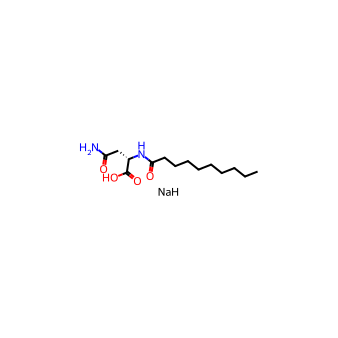 CCCCCCCCCC(=O)N[C@@H](CC(N)=O)C(=O)O.[NaH]